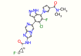 CN(C)C(=O)c1ccn(-c2c(F)c(Cl)c(-c3cn4cc(NC(=O)[C@@H]5C[C@@H]5F)nc4cn3)c3cn[nH]c23)c1